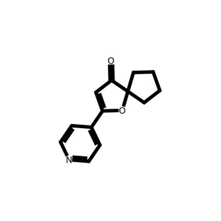 O=C1C=C(c2ccncc2)OC12CCCC2